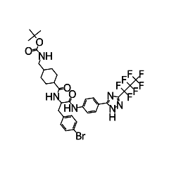 CC(C)(C)OC(=O)NCC1CCC(C(=O)NC(Cc2ccc(Br)cc2)C(=O)Nc2ccc(-c3nc(C(F)(F)C(F)(F)C(F)(F)F)n[nH]3)cc2)CC1